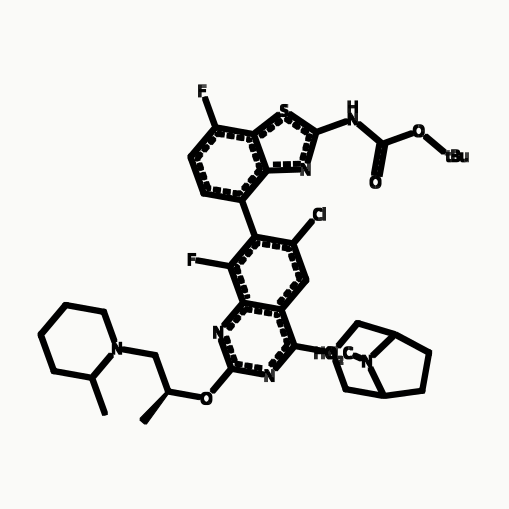 CC1CCCCN1C[C@H](C)Oc1nc(N2CC3CCC(C2)N3C(=O)O)c2cc(Cl)c(-c3ccc(F)c4sc(NC(=O)OC(C)(C)C)nc34)c(F)c2n1